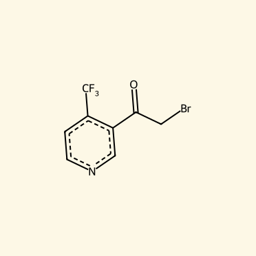 O=C(CBr)c1cnccc1C(F)(F)F